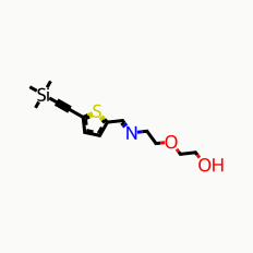 C[Si](C)(C)C#Cc1ccc(C=NCCOCCO)s1